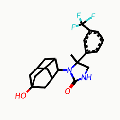 CC1(c2cccc(C(F)(F)F)c2)CNC(=O)N1C1C2CC3CC1CC(O)(C3)C2